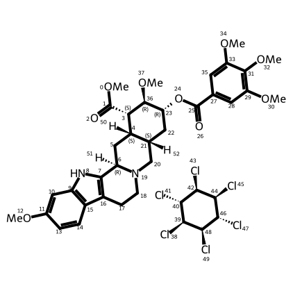 COC(=O)[C@H]1[C@H]2C[C@@H]3c4[nH]c5cc(OC)ccc5c4CCN3C[C@H]2C[C@@H](OC(=O)c2cc(OC)c(OC)c(OC)c2)[C@@H]1OC.Cl[C@H]1[C@H](Cl)[C@@H](Cl)[C@@H](Cl)[C@H](Cl)[C@H]1Cl